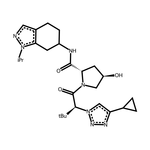 CC(C)n1ncc2c1CC(NC(=O)[C@@H]1C[C@@H](O)CN1C(=O)[C@@H](n1cc(C3CC3)nn1)C(C)(C)C)CC2